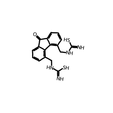 N=C(S)NCc1cccc2c1-c1c(CNC(=N)S)cccc1C2=O